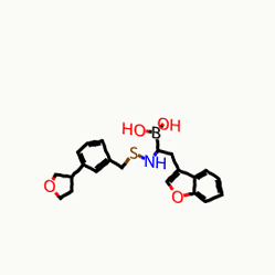 OB(O)C(Cc1coc2ccccc12)NSCc1cccc(C2CCOC2)c1